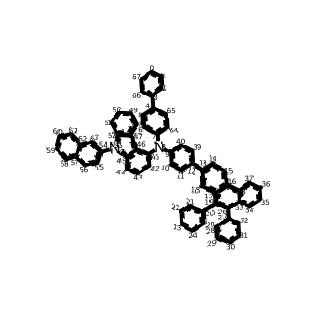 c1ccc(-c2ccc(N(c3ccc(-c4ccc5c(c4)c(-c4ccccc4)c(-c4ccccc4)c4ccccc45)cc3)c3cccc4c3c3ccccc3n4-c3ccc4ccccc4c3)cc2)cc1